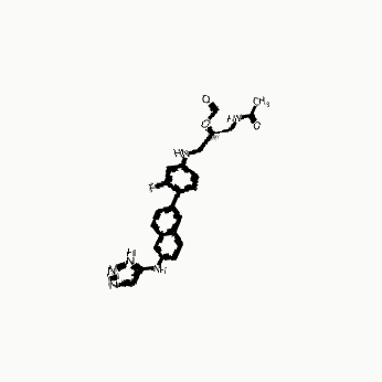 CC(=O)NC[C@@H](CNc1ccc(-c2ccc3cc(Nc4cnn[nH]4)ccc3c2)c(F)c1)OC=O